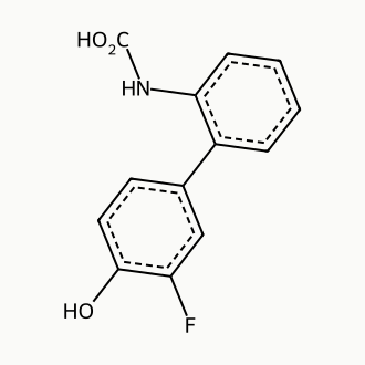 O=C(O)Nc1ccccc1-c1ccc(O)c(F)c1